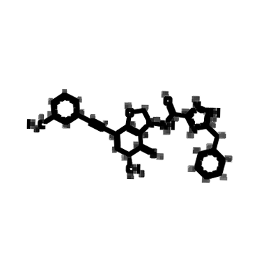 Cc1cccc(C#CC2=C[C@H](C)C(=S)C3=C2OCN3NC(=O)c2n[nH]c(Cc3ccccc3)n2)c1